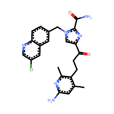 Cc1cc(N)nc(C)c1CCC(=O)c1cn(Cc2ccc3ncc(Cl)cc3c2)c(C(N)=O)n1